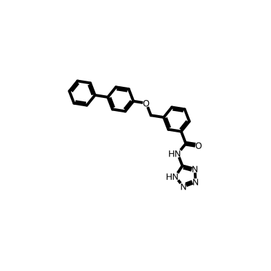 O=C(Nc1nnn[nH]1)c1cccc(COc2ccc(-c3ccccc3)cc2)c1